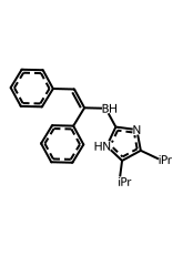 CC(C)c1nc(BC(=Cc2ccccc2)c2ccccc2)[nH]c1C(C)C